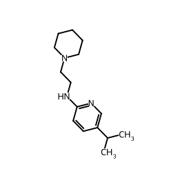 CC(C)c1ccc(NCCN2CCCCC2)nc1